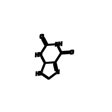 O=C1NC(=O)C2=NCNC2N1